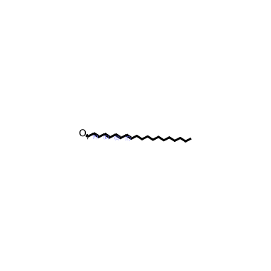 CCCCCCCCCCC/C=C/C=C/C=C/C=C/[C]=O